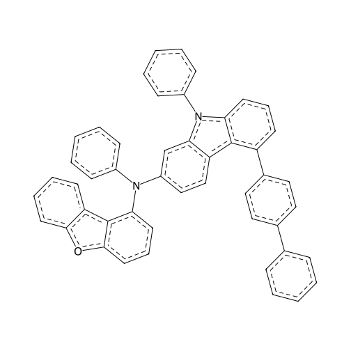 c1ccc(-c2ccc(-c3cccc4c3c3ccc(N(c5ccccc5)c5cccc6oc7ccccc7c56)cc3n4-c3ccccc3)cc2)cc1